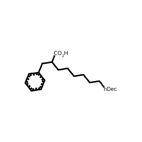 CCCCCCCCCCCCCCCCC(Cc1ccccc1)C(=O)O